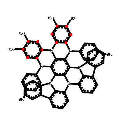 CC(C)(C)c1ccc(N(c2ccc(C(C)(C)C)cc2)c2c3c4c(c(N(c5ccc(C(C)(C)C)cc5)c5ccc(C(C)(C)C)cc5)c2N(c2ccc(C(C)(C)C)cc2)c2ccc(C(C)(C)C)cc2)B2c5ccccc5-c5cccc(c52)N4c2cccc4c2B3c2ccccc2-4)cc1